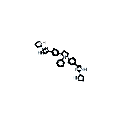 c1ccc(N2[C@@H](c3ccc(-c4c[nH]c([C@@H]5CCCN5)n4)cc3)CC[C@H]2c2ccc(-c3c[nH]c([C@@H]4CCCN4)n3)cc2)cc1